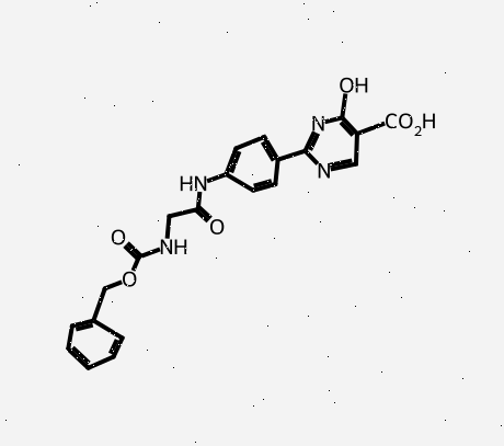 O=C(CNC(=O)OCc1ccccc1)Nc1ccc(-c2ncc(C(=O)O)c(O)n2)cc1